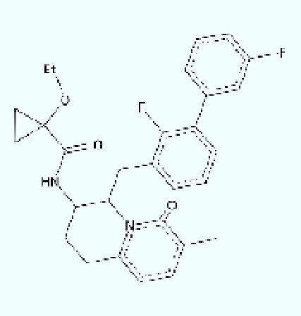 CCOC1(C(=O)NC2CCc3ccc(C)c(=O)n3C2Cc2cccc(-c3cccc(F)c3)c2F)CC1